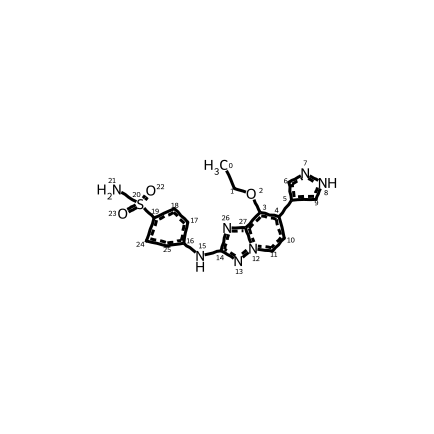 CCOc1c(-c2cn[nH]c2)ccn2nc(Nc3ccc(S(N)(=O)=O)cc3)nc12